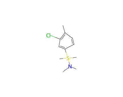 Cc1ccc(S(C)(C)N(C)C)cc1Cl